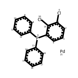 Clc1cccc(P(c2ccccc2)c2ccccc2)c1Cl.[Pd]